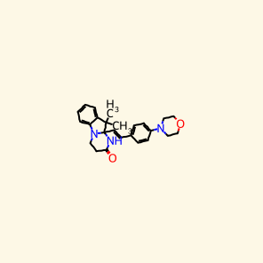 CC1(C)c2ccccc2N2CCC(=O)NC21/C=C/c1ccc(N2CCOCC2)cc1